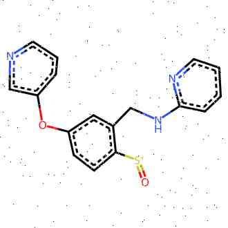 O=[S+]c1ccc(Oc2cccnc2)cc1CNc1ccccn1